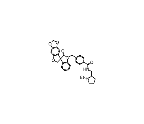 CCN1CCCC1CNC(=O)c1ccc(CN2C(=O)C3(COc4cc5c(cc43)OCO5)c3ccccc32)cc1